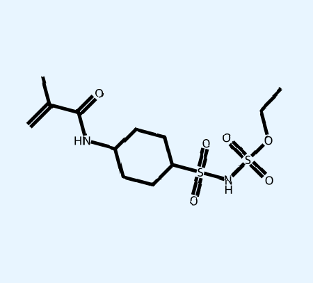 C=C(C)C(=O)NC1CCC(S(=O)(=O)NS(=O)(=O)OCC)CC1